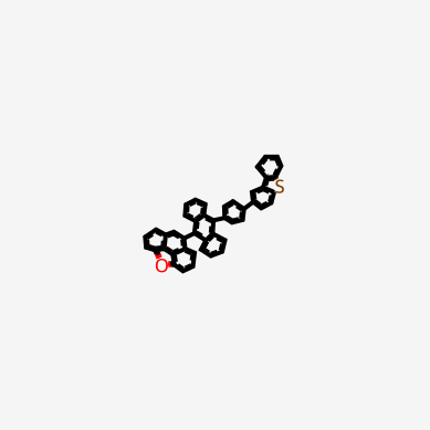 c1cc2cc(-c3c4ccccc4c(-c4ccc(-c5ccc6sc7ccccc7c6c5)cc4)c4ccccc34)c3cccc4oc(c1)c2c43